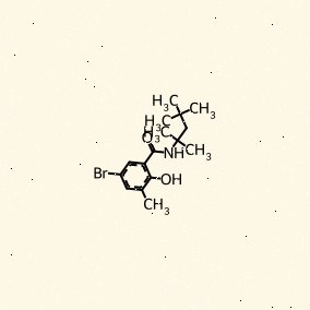 Cc1cc(Br)cc(C(=O)NC(C)(C)CC(C)(C)C)c1O